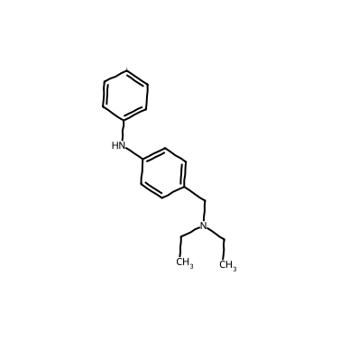 CCN(CC)Cc1ccc(Nc2cc[c]cc2)cc1